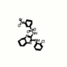 O=[N+]([O-])c1cccc(S(=O)(=O)Nc2nc3ccccc3nc2Nc2ccccc2Cl)c1